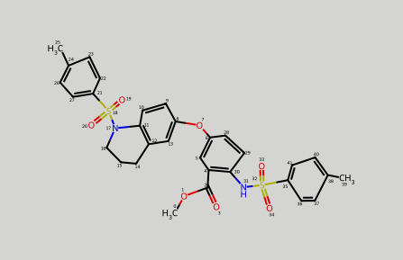 COC(=O)c1cc(Oc2ccc3c(c2)CCCN3S(=O)(=O)c2ccc(C)cc2)ccc1NS(=O)(=O)c1ccc(C)cc1